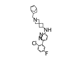 Fc1ccc(Cl)c(-c2ccc(NC3CC4(C3)CN(CC3CC5C=CC3C5)C4)nn2)c1